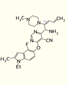 C=C/C=C(\C(N)c1ncnc(Oc2ccc3c(cc(C)n3CC)c2F)c1C#N)N1CCN(C)CC1